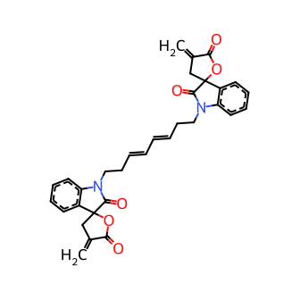 C=C1CC2(OC1=O)C(=O)N(CC/C=C/C=C/CCN1C(=O)C3(CC(=C)C(=O)O3)c3ccccc31)c1ccccc12